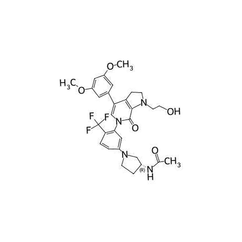 COc1cc(OC)cc(-c2cn(-c3cc(N4CC[C@@H](NC(C)=O)C4)ccc3C(F)(F)F)c(=O)c3c2CCN3CCO)c1